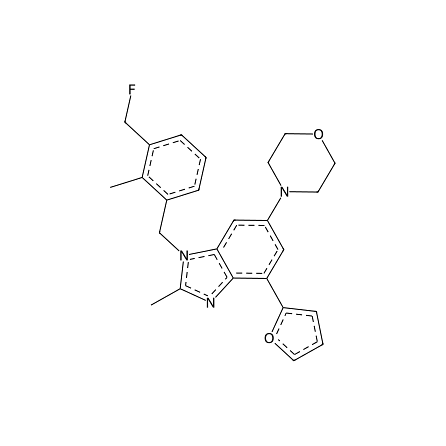 Cc1c(CF)cccc1Cn1c(C)nc2c(-c3ccco3)cc(N3CCOCC3)cc21